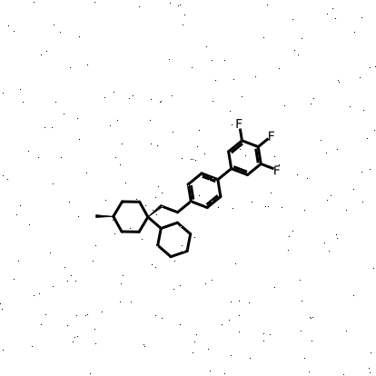 C[C@H]1CC[C@](CCc2ccc(-c3cc(F)c(F)c(F)c3)cc2)(C2CCCCC2)CC1